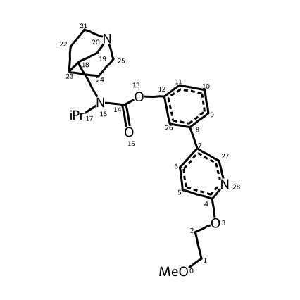 COCCOc1ccc(-c2cccc(OC(=O)N(C(C)C)C3CN4CCC3CC4)c2)cn1